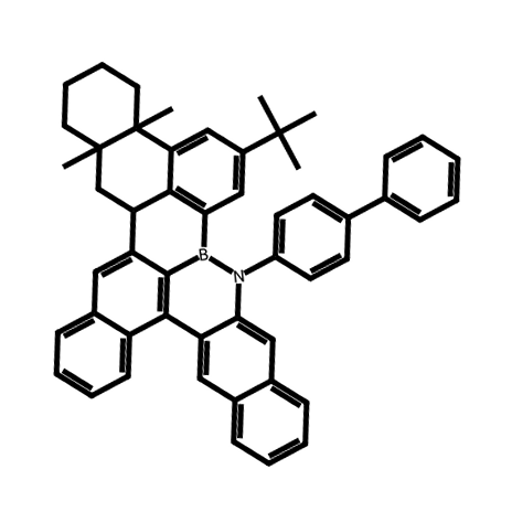 CC(C)(C)c1cc2c3c(c1)C1(C)CCCCC1(C)CC3c1cc3ccccc3c3c1B2N(c1ccc(-c2ccccc2)cc1)c1cc2ccccc2cc1-3